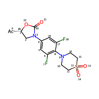 CC(=O)[C@H]1CN(c2cc(F)c(N3CCS(=O)(=O)CC3)c(F)c2)C(=O)O1